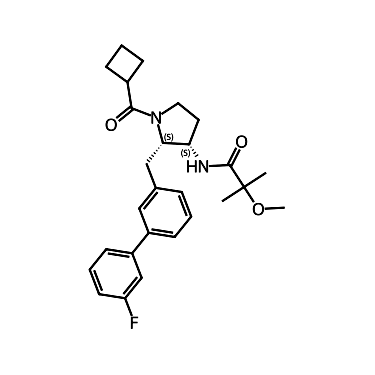 COC(C)(C)C(=O)N[C@H]1CCN(C(=O)C2CCC2)[C@H]1Cc1cccc(-c2cccc(F)c2)c1